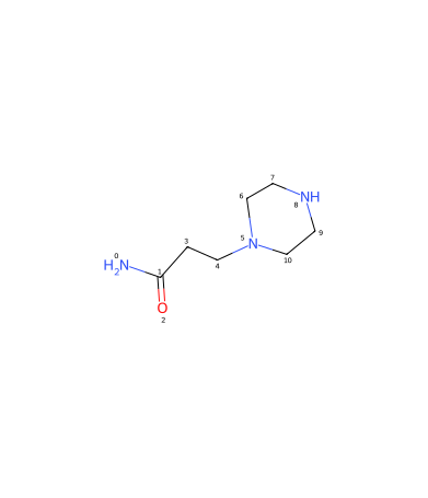 NC(=O)CCN1CCNCC1